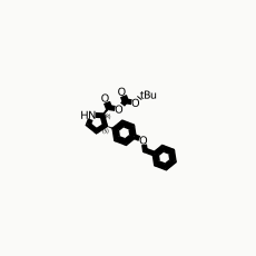 CC(C)(C)OC(=O)OC(=O)[C@@H]1NCC[C@H]1c1ccc(OCc2ccccc2)cc1